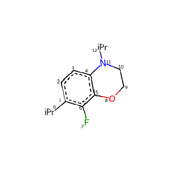 CC(C)c1ccc2c(c1F)OCCN2C(C)C